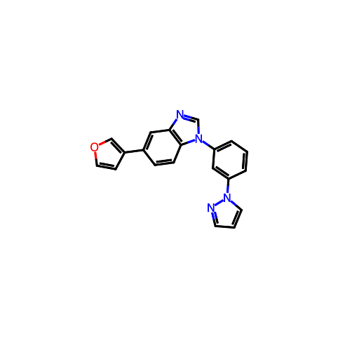 c1cc(-n2cccn2)cc(-n2cnc3cc(-c4ccoc4)ccc32)c1